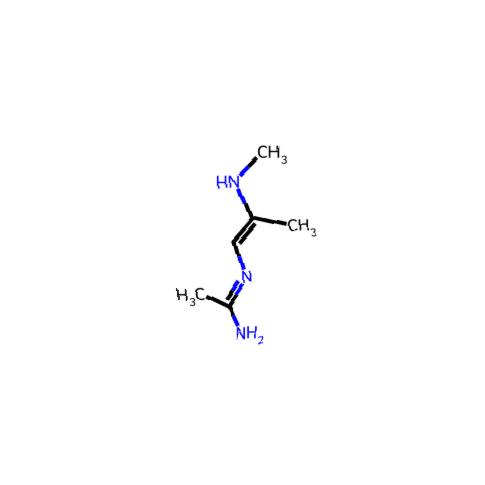 CN/C(C)=C/N=C(\C)N